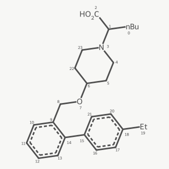 CCCCC(C(=O)O)N1CCC(OCc2ccccc2-c2ccc(CC)cc2)CC1